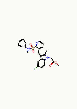 COC(=O)Cn1c(C)c(Cc2cccnc2S(=O)(=O)N(C)c2ccccc2)c2cc(F)ccc21